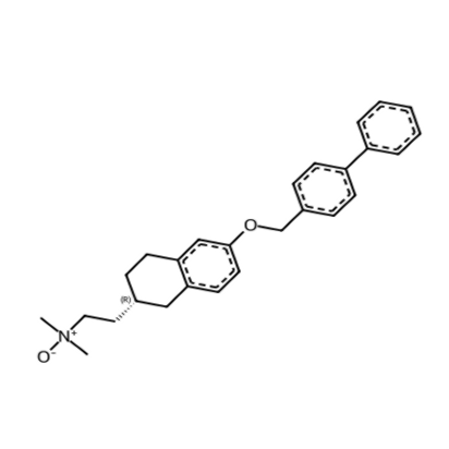 C[N+](C)([O-])CC[C@@H]1CCc2cc(OCc3ccc(-c4ccccc4)cc3)ccc2C1